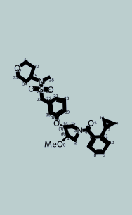 CO[C@@H]1CN(C(=O)c2ccccc2C2CC2)C[C@H]1Oc1cccc(CS(=O)(=O)N(C)C2CCOCC2)c1